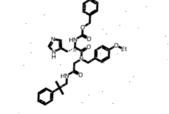 CCOc1ccc(CN(CC(=O)NCC(C)(C)c2ccccc2)C(=O)[C@H](Cc2cnc[nH]2)NC(=O)OCc2ccccc2)cc1